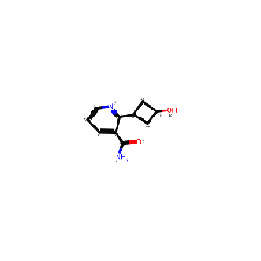 NC(=O)c1cccnc1C1CC(O)C1